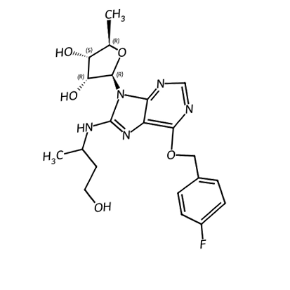 CC(CCO)Nc1nc2c(OCc3ccc(F)cc3)ncnc2n1[C@@H]1O[C@H](C)[C@@H](O)[C@H]1O